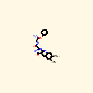 COc1cc2cc3c(=O)[nH]c(C(=O)NCC(N)Oc4ccccc4)nc3nc2cc1OC